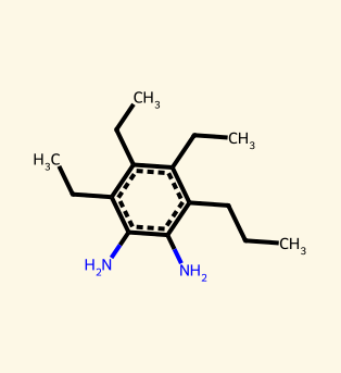 CCCc1c(N)c(N)c(CC)c(CC)c1CC